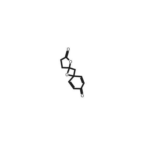 O=C1C=CC2(C=C1)CC1(CCC(=O)O1)O2